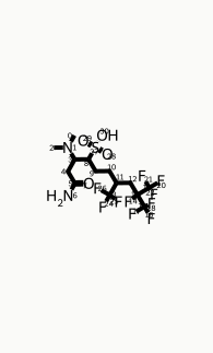 CN(C)C(CC(N)=O)C(CCC(CC(F)(C(F)(F)F)C(F)(F)F)C(F)(F)F)S(=O)(=O)O